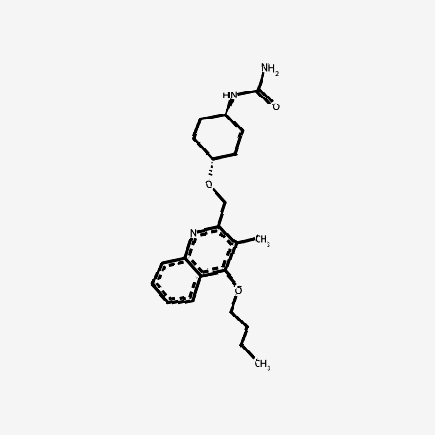 CCCCOc1c(C)c(CO[C@H]2CC[C@H](NC(N)=O)CC2)nc2ccccc12